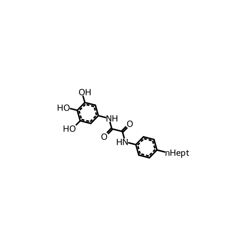 CCCCCCCc1ccc(NC(=O)C(=O)Nc2cc(O)c(O)c(O)c2)cc1